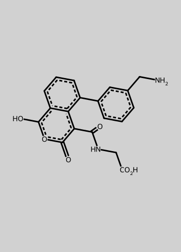 NCc1cccc(-c2cccc3c(O)oc(=O)c(C(=O)NCC(=O)O)c23)c1